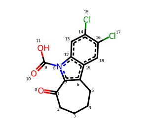 O=C1CCCCc2c1n(C(=O)O)c1cc(Cl)c(Cl)cc21